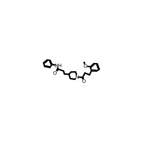 COc1ccccc1CCC(=O)N1CCC(CCC(=O)Nc2ccccc2)CC1